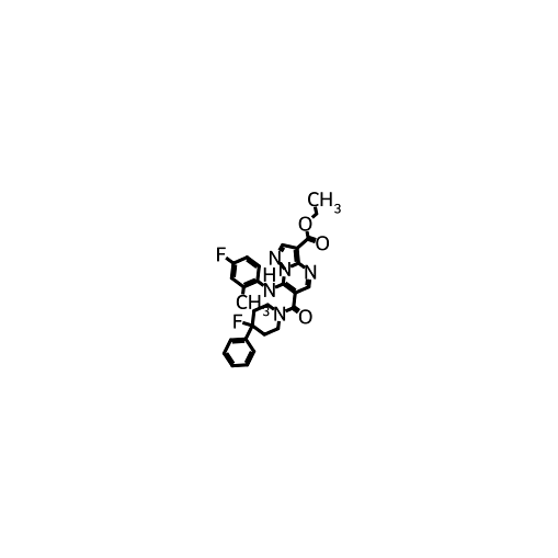 CCOC(=O)c1cnn2c(Nc3ccc(F)cc3C)c(C(=O)N3CCC(F)(c4ccccc4)CC3)cnc12